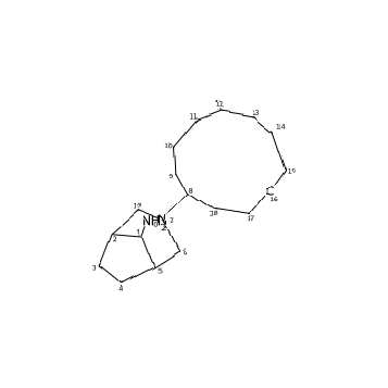 NC1C2CCC1CN(C1CCCCCCCCCC1)C2